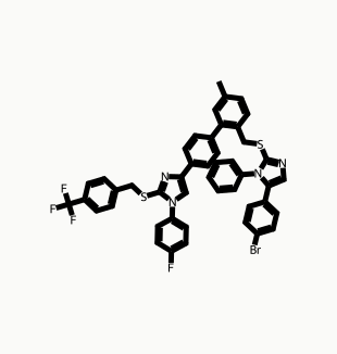 Cc1ccc(CSc2ncc(-c3ccc(Br)cc3)n2-c2ccccc2)c(-c2ccc(-c3cn(-c4ccc(F)cc4)c(SCc4ccc(C(F)(F)F)cc4)n3)cc2)c1